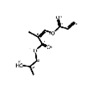 C=CC(=O)OC=C(C)C(=O)OCC(C)O